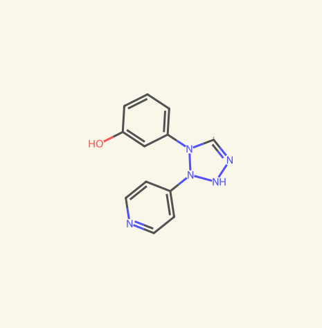 Oc1cccc(N2[C]=NNN2c2ccncc2)c1